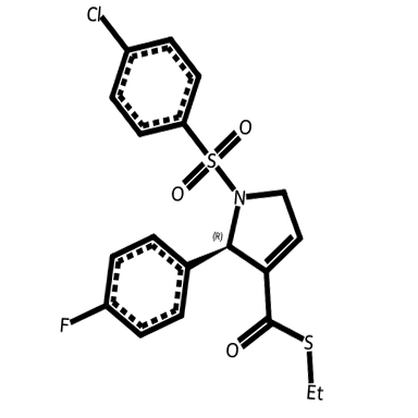 CCSC(=O)C1=CCN(S(=O)(=O)c2ccc(Cl)cc2)[C@@H]1c1ccc(F)cc1